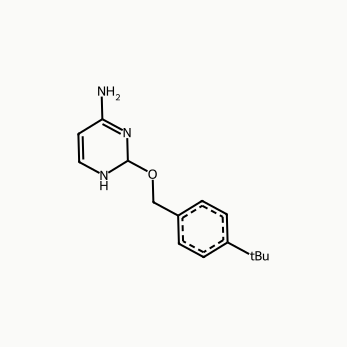 CC(C)(C)c1ccc(COC2N=C(N)C=CN2)cc1